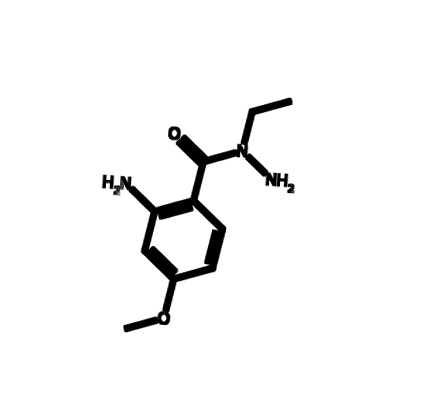 CCN(N)C(=O)c1ccc(OC)cc1N